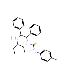 CCC(CC)NC(c1ccccc1)C(NC(=S)Nc1ccc(C)cc1)c1ccccc1